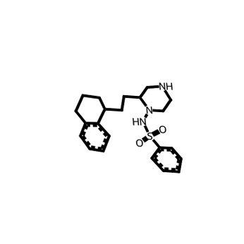 O=S(=O)(NN1CCNCC1CCC1CCCc2ccccc21)c1ccccc1